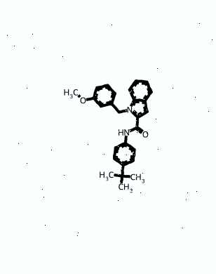 COc1cccc(Cn2c(C(=O)Nc3ccc(C(C)(C)C)cc3)cc3ccccc32)c1